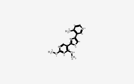 COc1ncc(-c2nc(-c3cnccc3C)cs2)c(OC)n1